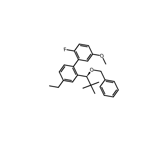 CCc1ccc(-c2cc(OC)ccc2F)c([C@@H](OCc2ccccc2)C(C)(C)C)c1